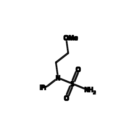 COCCN(C(C)C)S(N)(=O)=O